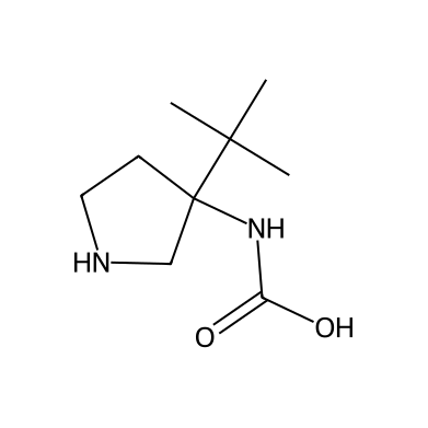 CC(C)(C)C1(NC(=O)O)CCNC1